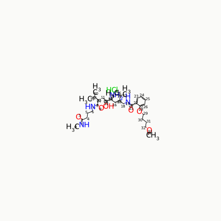 CNC(=O)CCCNC(=O)[C@@H](C[C@H](O)[C@@H](N)C[C@H](CNC(=O)c1ccccc1OCCCCOC)C(C)C)C(C)C.Cl